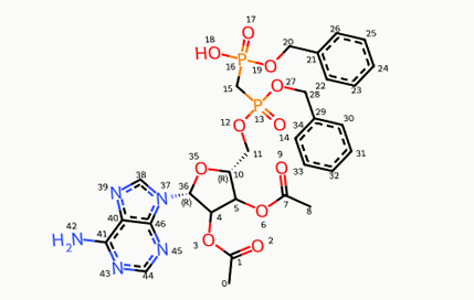 CC(=O)OC1C(OC(C)=O)[C@@H](COP(=O)(CP(=O)(O)OCc2ccccc2)OCc2ccccc2)O[C@H]1n1cnc2c(N)ncnc21